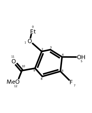 CCOc1cc(O)c(F)cc1C(=O)OC